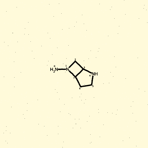 NN1CC2NCCC21